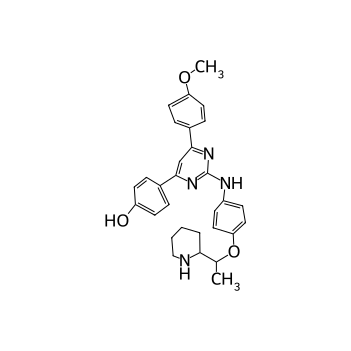 COc1ccc(-c2cc(-c3ccc(O)cc3)nc(Nc3ccc(OC(C)C4CCCCN4)cc3)n2)cc1